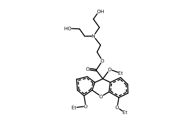 CCOc1cccc2c1Oc1c(OCC)cccc1C2(OCC)C(=O)OCCN(CCO)CCO